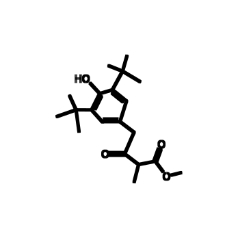 COC(=O)C(C)C(=O)Cc1cc(C(C)(C)C)c(O)c(C(C)(C)C)c1